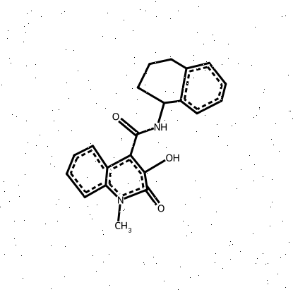 Cn1c(=O)c(O)c(C(=O)NC2CCCc3ccccc32)c2ccccc21